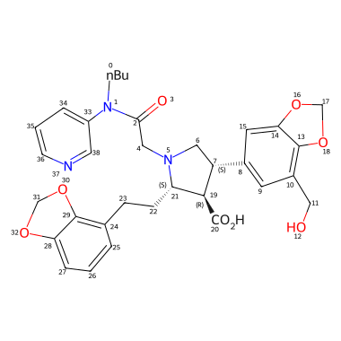 CCCCN(C(=O)CN1C[C@H](c2cc(CO)c3c(c2)OCO3)[C@@H](C(=O)O)[C@@H]1CCc1cccc2c1OCO2)c1cccnc1